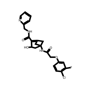 O=C(COc1ccc(Cl)c(F)c1)NC12CC(=C(C(=O)NCc3ccccn3)C(O)C1)C2